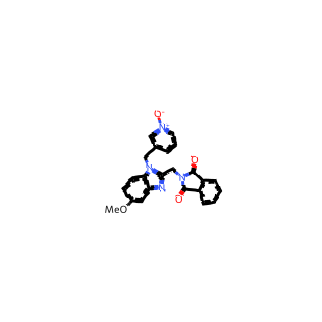 COc1ccc2c(c1)nc(CN1C(=O)c3ccccc3C1=O)n2Cc1ccc[n+]([O-])c1